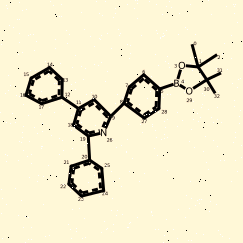 CC1(C)OB(c2ccc(-c3cc(-c4ccccc4)cc(-c4ccccc4)n3)cc2)OC1(C)C